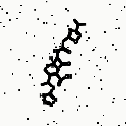 CC(Sc1nnn[nH]1)C1=C(C(=O)O)N2C(=O)C(NC(=O)Cc3nc(C(C)C)no3)[C@@H]2SC1